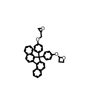 c1ccc2c3c(ccc2c1)C(c1ccc(OCC2CO2)cc1)(c1ccc(OC2CCO2)cc1)c1c-3ccc2ccccc12